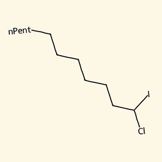 CCCCCCCCCCCC(Cl)I